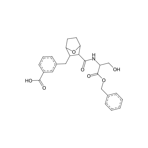 O=C(O)c1cccc(CC2C3CCC(O3)C2C(=O)NC(CO)C(=O)OCc2ccccc2)c1